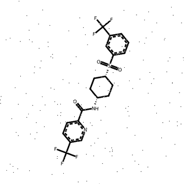 O=C(N[C@H]1CC[C@@H](S(=O)(=O)c2cccc(C(F)(F)F)c2)CC1)c1ccc(C(F)(F)F)cn1